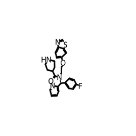 O=C(C1CCNCC1)N(CCOc1ccc2ncsc2c1)[C@@H](c1ccc(F)cc1)c1ccccn1